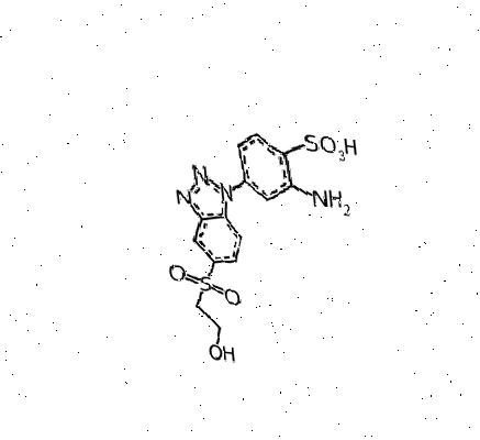 Nc1cc(-n2nnc3cc(S(=O)(=O)CCO)ccc32)ccc1S(=O)(=O)O